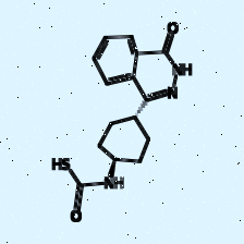 O=C(S)N[C@H]1CC[C@H](c2n[nH]c(=O)c3ccccc32)CC1